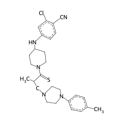 Cc1ccc(N2CCN(CC(C)C(=S)N3CCC(Nc4ccc(C#N)c(Cl)c4)CC3)CC2)cc1